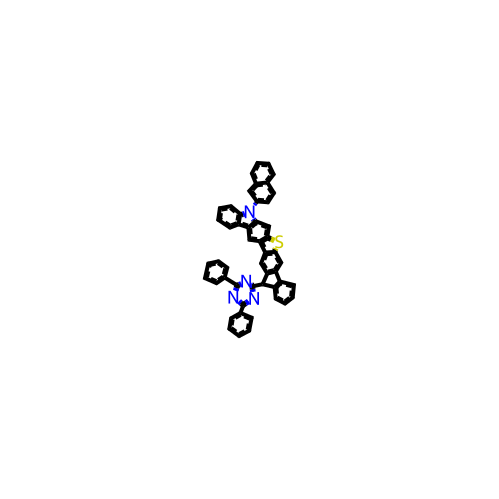 c1ccc(-c2nc(-c3ccccc3)nc(C3c4ccccc4-c4cc5sc6cc7c(cc6c5cc43)c3ccccc3n7-c3ccc4ccccc4c3)n2)cc1